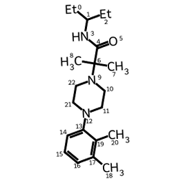 CCC(CC)NC(=O)C(C)(C)N1CCN(c2cccc(C)c2C)CC1